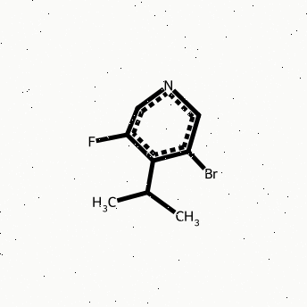 CC(C)c1c(F)cncc1Br